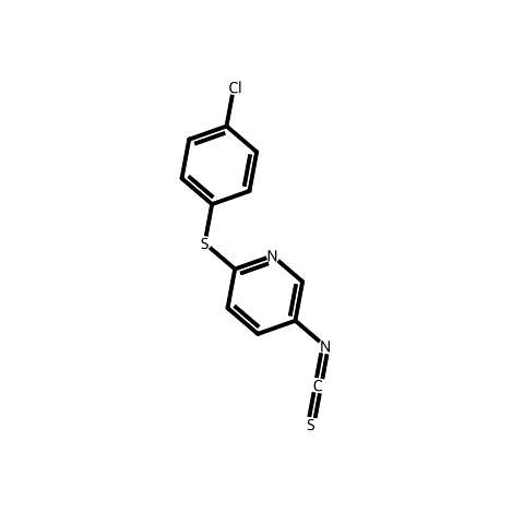 S=C=Nc1ccc(Sc2ccc(Cl)cc2)nc1